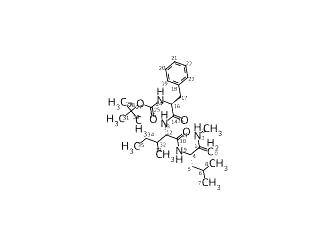 C=C(NC)[C@H](CC(C)C)NC(=O)[C@@H](NC(=O)[C@H](Cc1ccccc1)NC(=O)OC(C)(C)C)C(C)CC